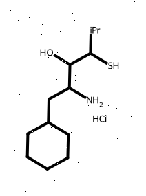 CC(C)C(S)C(O)C(N)CC1CCCCC1.Cl